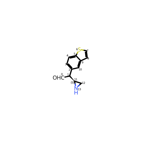 O=CC(c1ccc2sccc2c1)[C@H]1CN1